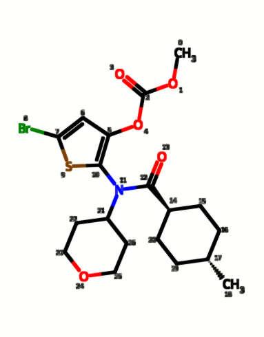 COC(=O)Oc1cc(Br)sc1N(C(=O)[C@H]1CC[C@H](C)CC1)C1CCOCC1